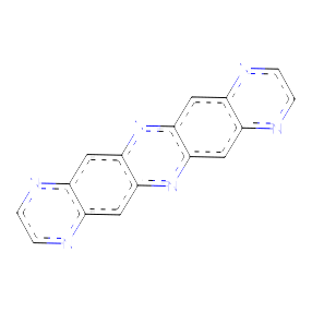 c1cnc2cc3nc4cc5nccnc5cc4nc3cc2n1